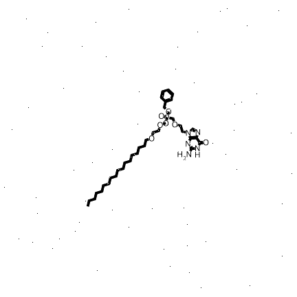 CCCCCCCCCCCCCCCCCCOCCOOP(=O)(COCCn1cnc2c(=O)[nH]c(N)nc21)OCc1ccccc1